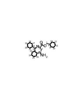 NN1CC(C(=O)OCc2ccccc2)N=C(c2ccccc2)c2ccccc21